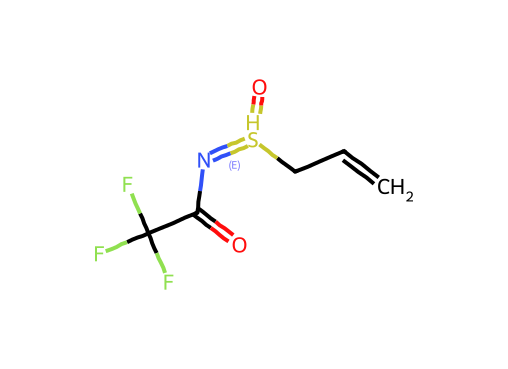 C=CC/[SH](=O)=N\C(=O)C(F)(F)F